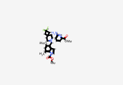 COC(=O)c1ccc([C@H]2CC3(CCN2Cc2c(OC)cc(C)c4c2ccn4C(=O)OC(C)(C)C)CC(F)(F)C3)c(N)n1